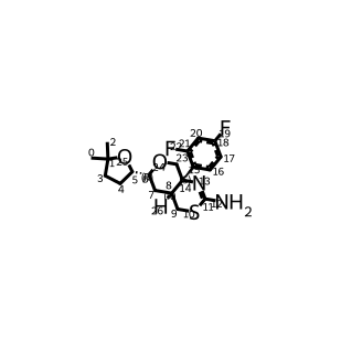 CC1(C)CCC([C@H]2C[C@H]3CSC(N)=N[C@@]3(c3ccc(F)cc3F)CO2)O1